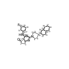 [O-][S+]1CCc2nc(N3CCC(c4ccc5ccccc5c4)CC3)nc(Nc3cccc(F)c3)c21